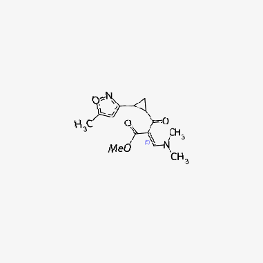 COC(=O)/C(=C/N(C)C)C(=O)C1CC1c1cc(C)on1